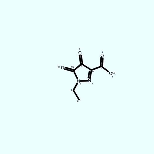 CCN1N=C(C(=O)O)C(=O)C1=O